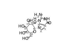 Nc1nc2c(ccn2[C@@H]2OC(CO)[C@@H](O)C(O)C(O)C2O)c(=O)[nH]1